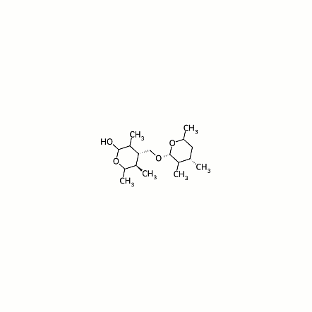 CC1C[C@H](C)C(C)[C@H](OC[C@H]2C(C)C(O)OC(C)[C@@H]2C)O1